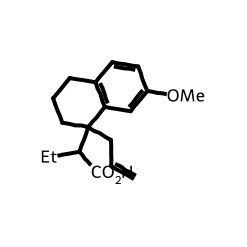 C=CCC1(C(CC)C(=O)O)CCCc2ccc(OC)cc21